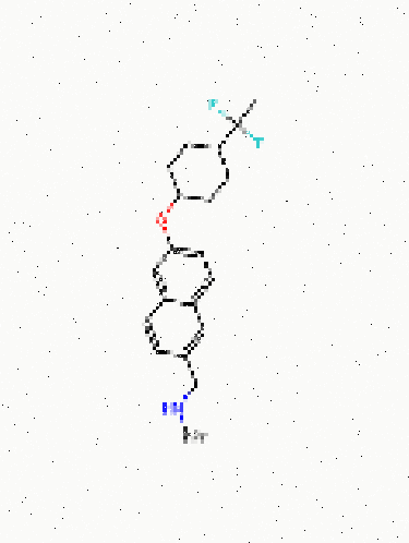 CCCNCc1ccc2cc(OC3CCC(C(C)(F)F)CC3)ccc2c1